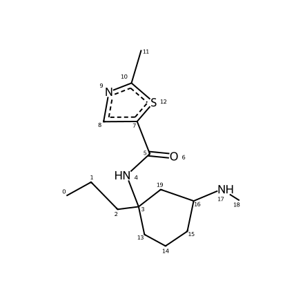 CCCC1(NC(=O)c2cnc(C)s2)CCCC(NC)C1